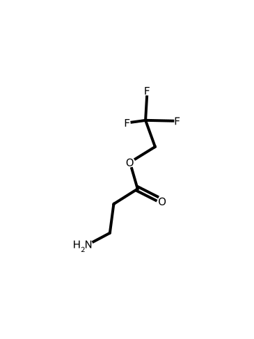 NCCC(=O)OCC(F)(F)F